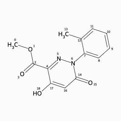 COC(=O)c1nn(-c2ccccc2C)c(=O)cc1O